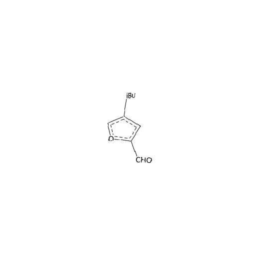 CCC(C)c1coc(C=O)c1